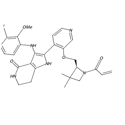 C=CC(=O)N1CC(C)(C)[C@H]1COc1cnccc1-c1[nH]c2c(c1Nc1cccc(F)c1OC)C(=O)NCC2